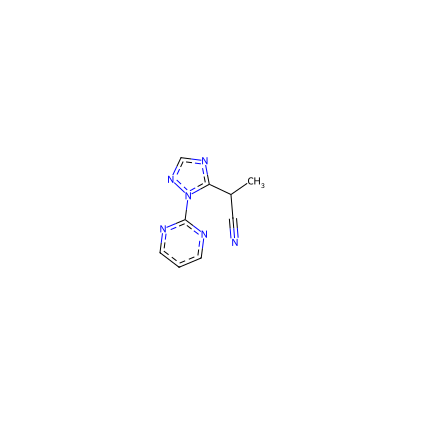 CC(C#N)c1ncnn1-c1ncccn1